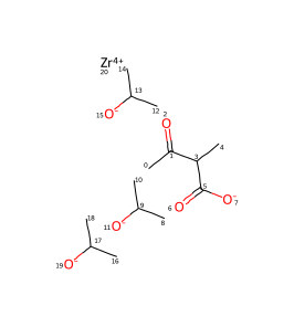 CC(=O)C(C)C(=O)[O-].CC(C)[O-].CC(C)[O-].CC(C)[O-].[Zr+4]